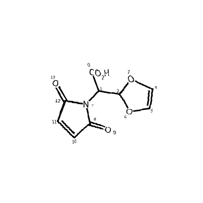 O=C(O)C(C1OC=CO1)N1C(=O)C=CC1=O